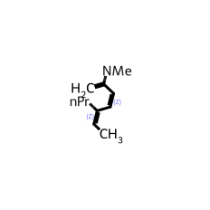 C=C(/C=C\C(=C/C)CCC)NC